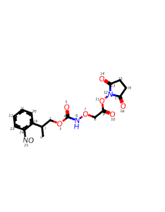 CC(COC(=O)NOCC(=O)ON1C(=O)CCC1=O)c1ccccc1N=O